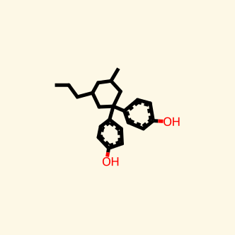 CCCC1CC(C)CC(c2ccc(O)cc2)(c2ccc(O)cc2)C1